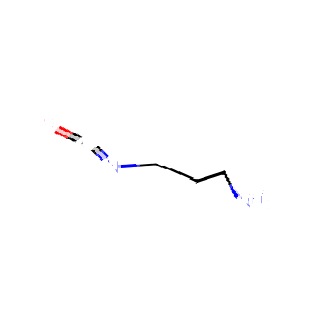 NCCCN=C=O